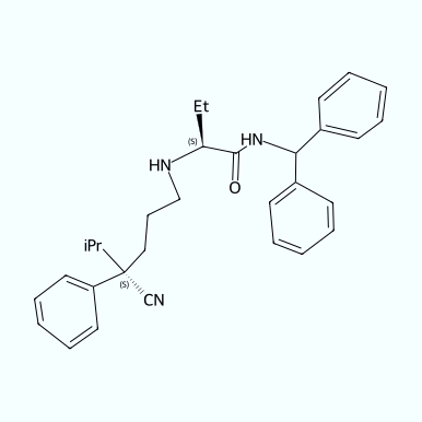 CC[C@H](NCCC[C@@](C#N)(c1ccccc1)C(C)C)C(=O)NC(c1ccccc1)c1ccccc1